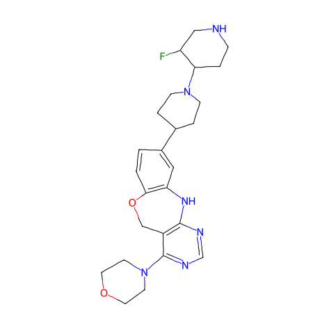 FC1CNCCC1N1CCC(c2ccc3c(c2)Nc2ncnc(N4CCOCC4)c2CO3)CC1